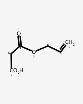 C=CCOC(=O)CC(=O)O